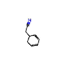 N#CCC1C=CC=CC1